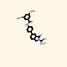 COc1cc(OC)cc(C(=O)Nc2ccc(-c3ccc4c(c3)C(=O)N([C@H](C(=O)O)C(C)C)C4)cc2)c1